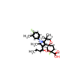 C=C/C=C(/O)c1c(C)n(-c2ccc(F)c(C)c2)c2c1[C@]1(CC[C@](F)(C(=O)O)CC1)OCC2(C)C